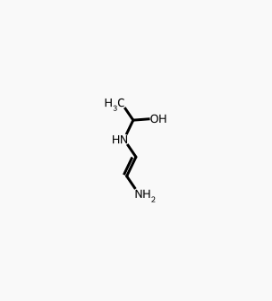 CC(O)N/C=C/N